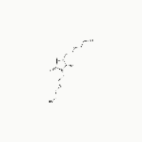 CC1(C)C(=O)N(CCOCCO)C(=O)N1CCOCCO